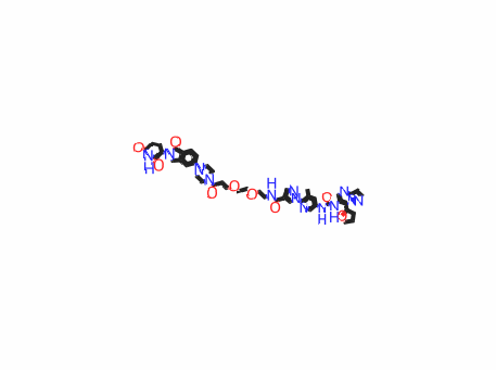 Cc1cc(NC(=O)Nc2cnc3ccnn3c2C2CCCO2)cnc1-n1cc(C(=O)NCCOCCOCCC(=O)N2CCN(c3ccc4c(c3)CN(C3CCC(=O)NC3=O)C4=O)CC2)cn1